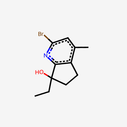 CCC1(O)CCc2c(C)cc(Br)nc21